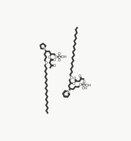 CCCCCCCCCCCCCCCCCCOCC(CC(CCCOP(=O)(O)O)[n+]1ccccc1)OC(=O)CC(C)=O.CCCCCCCCCCCCCCCCCCOCCCC(CC(COP(=O)([O-])O)OC(=O)CC(C)=O)N1CCCC1